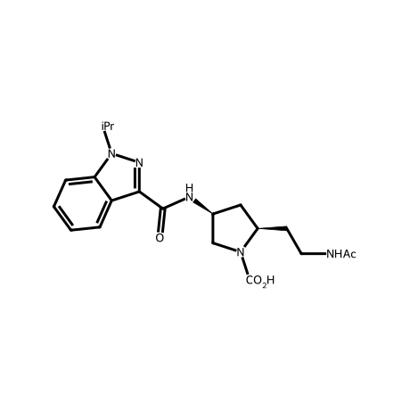 CC(=O)NCC[C@@H]1C[C@H](NC(=O)c2nn(C(C)C)c3ccccc23)CN1C(=O)O